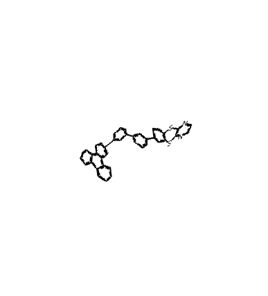 c1cc(-c2cccc(-c3ccc4c5ccccc5c5ccccc5c4c3)c2)cc(-c2ccc3c(c2)Sc2nccnc2S3)c1